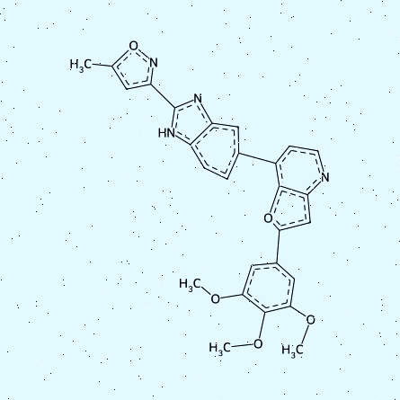 COc1cc(-c2cc3nccc(-c4ccc5[nH]c(-c6cc(C)on6)nc5c4)c3o2)cc(OC)c1OC